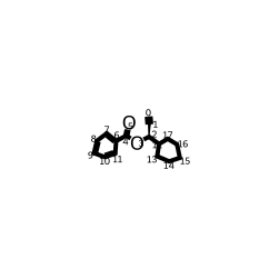 C#C[C@H](OC(=O)c1ccccc1)C1CCCCC1